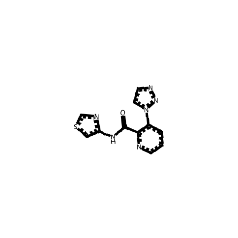 O=C(Nc1cscn1)c1ncccc1-n1ccnn1